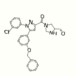 O=CC1CN(C(=O)c2cc(-c3cccc(OCc4ccccc4)c3)n(-c3cccc(Cl)c3)n2)CN1